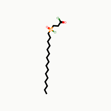 CCCCCCCCCCCCCCCCP(=O)(Cl)CCC(=O)Cl